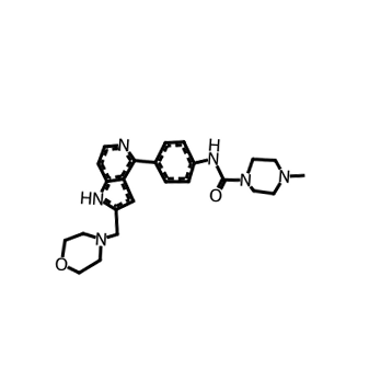 CN1CCN(C(=O)Nc2ccc(-c3nccc4[nH]c(CN5CCOCC5)cc34)cc2)CC1